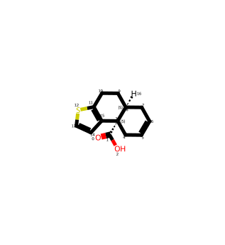 O=C(O)[C@@]12CC=CC[C@@H]1CCc1sccc12